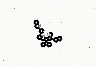 c1ccc(C2(c3ccccc3)c3cc4cccc(-c5cccc(-c6ccc7ccccc7n6)c5)c4nc3-c3c2cc(-c2ccc4ccccc4c2)c2cccnc32)cc1